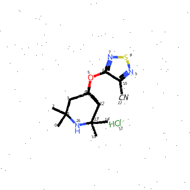 CC1(C)CC(Oc2nsnc2C#N)CC(C)(C)N1.Cl